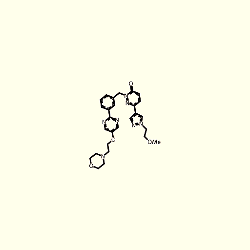 COCCn1cc(-c2ccc(=O)n(Cc3cccc(-c4ncc(OCCN5CCOCC5)cn4)c3)n2)cn1